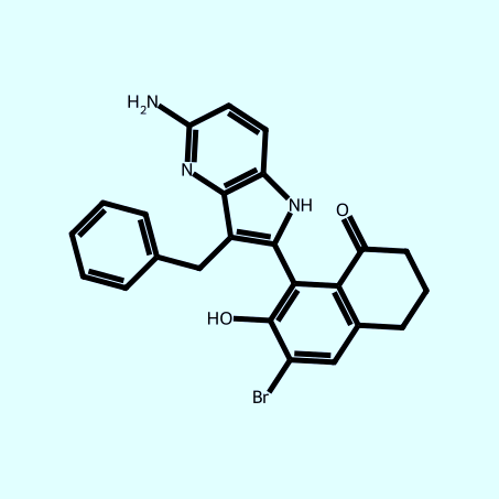 Nc1ccc2[nH]c(-c3c(O)c(Br)cc4c3C(=O)CCC4)c(Cc3ccccc3)c2n1